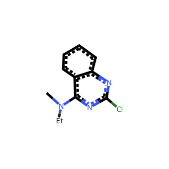 CCN(C)c1nc(Cl)nc2ccccc12